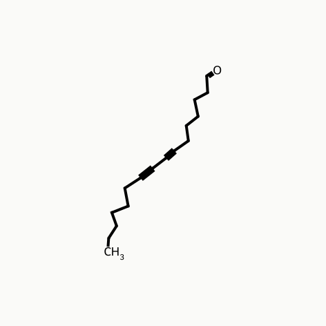 CCCCCCC#CC#CCCCCCC=O